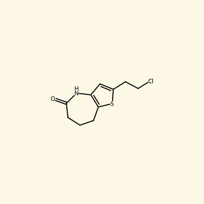 O=C1CCCc2sc(CCCl)cc2N1